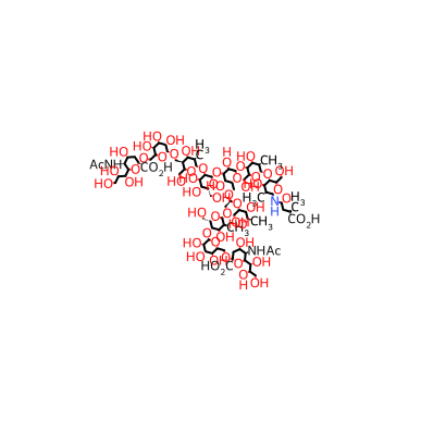 CC(=O)N[C@H]1C([C@H](O)[C@H](O)CO)O[C@@](OCC2O[C@@H](O[C@H]3C(O)C(C)[C@H](OC[C@@H](OCC4O[C@@H](O[C@@H]5C(CO)O[C@@H](O[C@@H]6C(CO)O[C@@H](NC(=O)CC(C)C(=O)O)[C@@H](C)C6O)[C@@H](C)C5O)[C@H](O)C(O[C@H]5O[C@H](CO)[C@@H](O)C(O)C5O[C@@H]5OC(CO)[C@@H](CO[C@@H]6OC(CO[C@]7(C(=O)O)C[C@@H](O)[C@@H](NC(C)=O)C([C@H](O)[C@H](O)CO)O7)[C@H](O)[C@H](O)C6O)C(O)[C@@H]5C)[C@@H]4O)OC(CO)[C@@H](O)[C@@H](C)O)O[C@H]3CO)[C@@H](O)C(O)[C@H]2O)(C(=O)O)C[C@H]1O